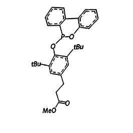 COC(=O)CCc1cc(C(C)(C)C)c(OP2Oc3ccccc3-c3ccccc32)c(C(C)(C)C)c1